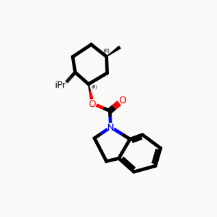 CC(C)C1CC[C@@H](C)C[C@H]1OC(=O)N1CCc2ccccc21